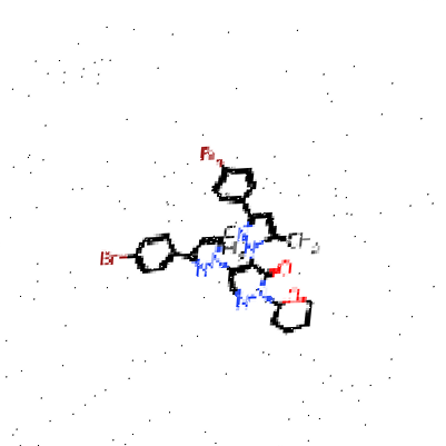 Cc1cc(-c2ccc(Br)cc2)nn1-c1cnn(C2CCCCO2)c(=O)c1-n1nc(-c2ccc(Br)cc2)cc1C